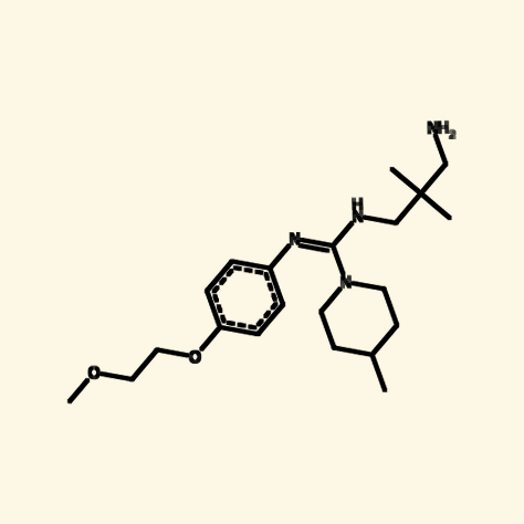 COCCOc1ccc(/N=C(/NCC(C)(C)CN)N2CCC(C)CC2)cc1